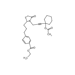 CCOC(=O)c1ccc(CCCC2SCC(=O)N2CC#CC2(OC(C)=O)CCCCC2)cc1